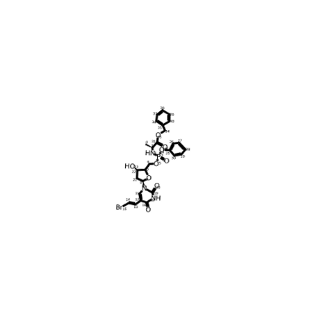 C[C@H](NP(=O)(OCC1O[C@@H](n2cc(/C=C/Br)c(=O)[nH]c2=O)C[C@H]1O)Oc1ccccc1)C(=O)OCc1ccccc1